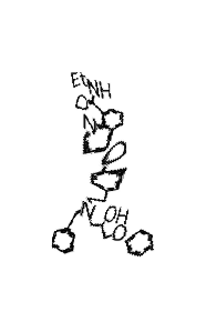 CCNC(=O)c1cccc2c(Oc3ccc(CCN(Cc4ccccc4)CC(O)COc4ccccc4)cc3)ccnc12